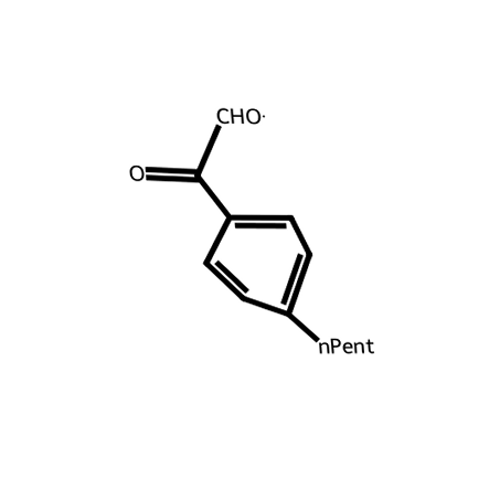 CCCCCc1ccc(C(=O)[C]=O)cc1